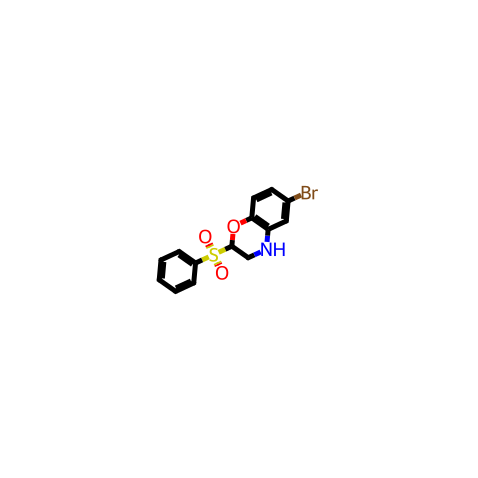 O=S(=O)(c1ccccc1)C1CNc2cc(Br)ccc2O1